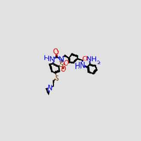 Nc1ccccc1NC(=O)c1ccc(CN2C(=O)Nc3ccc(SCCN4CC4)cc3S2(=O)=O)cc1